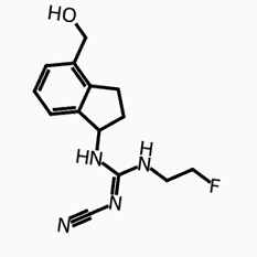 N#C/N=C(/NCCF)NC1CCc2c(CO)cccc21